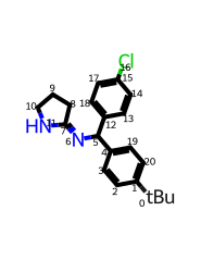 CC(C)(C)c1ccc(C(/N=C2\CCCN2)c2ccc(Cl)cc2)cc1